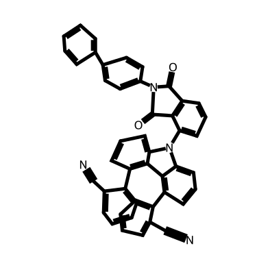 N#Cc1ccccc1-c1cccc2c1c1c(-c3ccccc3C#N)cccc1n2-c1cccc2c1C(=O)N(c1ccc(-c3ccccc3)cc1)C2=O